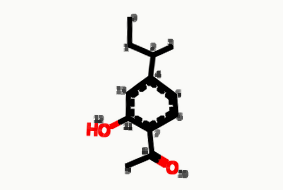 CCC(C)c1ccc(C(C)=O)c(O)c1